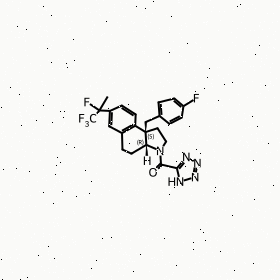 CC(F)(c1ccc2c(c1)CC[C@H]1N(C(=O)c3nnn[nH]3)CC[C@@]21Cc1ccc(F)cc1)C(F)(F)F